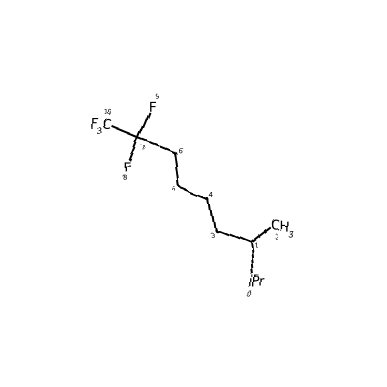 CC(C)C(C)CCCCC(F)(F)C(F)(F)F